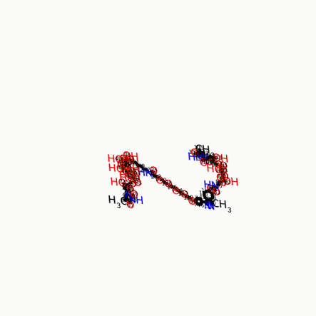 Cc1nnc(-c2ccc(OCCOCCOCCOCCOCCC(=O)NCCCCCCOP(=O)(O)OP(=O)(O)OP(=O)(O)OP(=O)(O)OP(=O)(O)OP(=O)(O)OC[C@H]3O[C@@H](n4cc(C)c(=O)[nH]c4=O)CC3O)cc2)c2c1CCC(OC(=O)NCCOP(=O)(O)OCOP(=O)(O)OC[C@H]1O[C@@H](n3cc(C)c(=O)[nH]c3=O)CC1O)CCC2